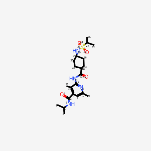 Cc1cc(C(=O)NC(C)C)c(C)c(NC(=O)C2CCC(NS(=O)(=O)C(C)C)CC2)n1